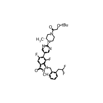 C[C@@H]1CN(C(=O)COC(C)(C)C)CCN1c1ncc(-c2c(F)cc3c(=O)n(C)n(Cc4ccccc4CC(F)F)c3c2F)cn1